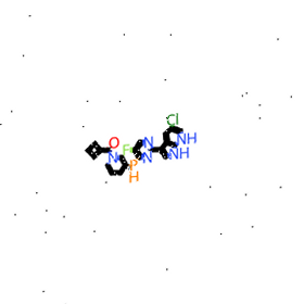 O=C(C1CCC1)N1CCC[C@@H](Pc2nc(C3=CNC4NC=C(Cl)C=C34)ncc2F)C1